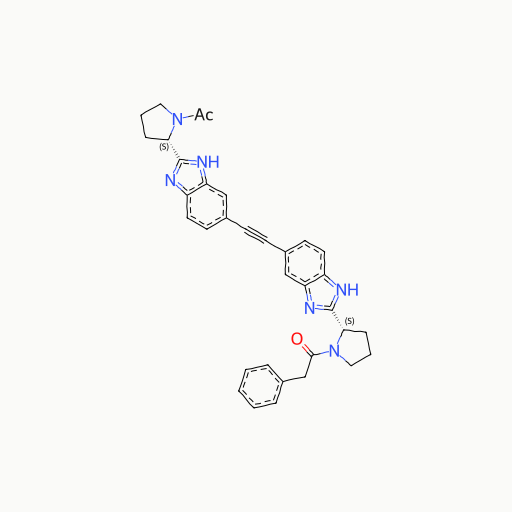 CC(=O)N1CCC[C@H]1c1nc2ccc(C#Cc3ccc4[nH]c([C@@H]5CCCN5C(=O)Cc5ccccc5)nc4c3)cc2[nH]1